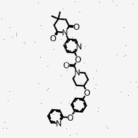 CC1(C)CC(=O)N(c2ccc(OC(=O)N3CCC(Oc4ccc(Oc5ccccn5)cc4)CC3)nc2)C(=O)C1